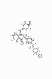 CC(C)(c1ccc(Cl)cc1)c1nc(-c2cn(Cc3ccc(F)cc3)c3ccccc3c2=O)no1